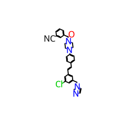 N#Cc1cccc(C(=O)N2CCN(c3ccc(C=Cc4cc(Cl)cc(Cn5ccnc5)c4)cc3)CC2)c1